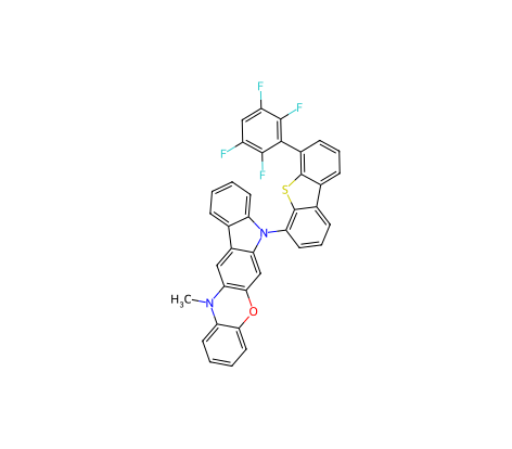 CN1c2ccccc2Oc2cc3c(cc21)c1ccccc1n3-c1cccc2c1sc1c(-c3c(F)c(F)cc(F)c3F)cccc12